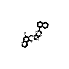 Fc1cc2ncccc2c(F)c1Cn1cnc2ncc(-c3cccc4ccccc34)nc21